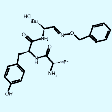 CC[C@H](C)[C@@H](C=NOCc1ccccc1)NC(=O)[C@H](Cc1ccc(O)cc1)NC(=O)[C@@H](N)C(C)C.Cl